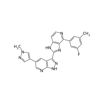 Cc1cc(F)cc(-c2nccc3[nH]c(-c4n[nH]c5ncc(-c6cnn(C)c6)cc45)nc23)c1